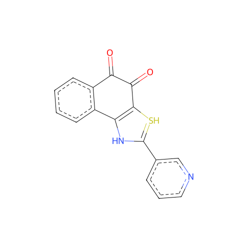 O=C1C(=O)c2ccccc2C2=C1[SH]=C(c1cccnc1)N2